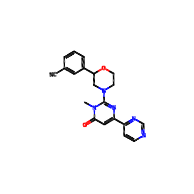 Cn1c(N2CCOC(c3cccc(C#N)c3)C2)nc(-c2ccncn2)cc1=O